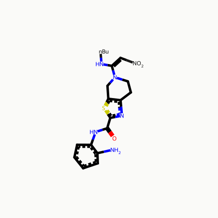 CCCCN/C(=C/[N+](=O)[O-])N1CCc2nc(C(=O)Nc3ccccc3N)sc2C1